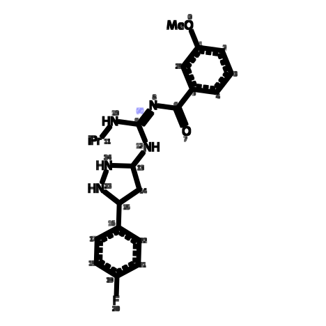 COc1cccc(C(=O)/N=C(/NC(C)C)NC2CC(c3ccc(F)cc3)NN2)c1